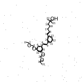 CCOCOc1cc(C=Cc2cccc(C=CCCCC(C)(C)O)c2)cc(OCOCC)c1